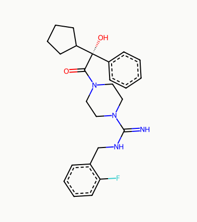 N=C(NCc1ccccc1F)N1CCN(C(=O)[C@](O)(c2ccccc2)C2CCCC2)CC1